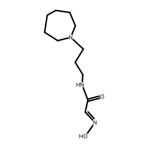 O=C(/C=N/O)NCCCN1CCCCCC1